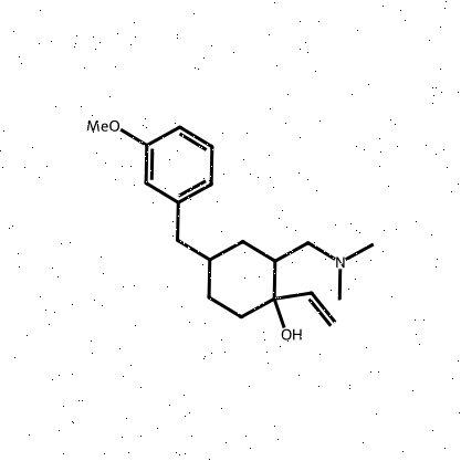 C=CC1(O)CCC(Cc2cccc(OC)c2)CC1CN(C)C